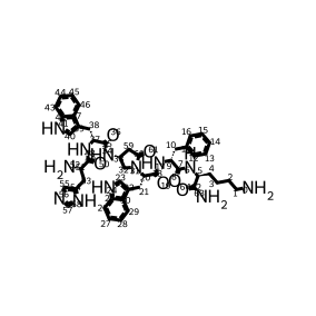 NCCCC[C@H](NC(=O)[C@@H](Cc1ccccc1)NC(=O)[C@H](Cc1c[nH]c2ccccc12)N1C[C@H](NC(=O)[C@@H](Cc2c[nH]c3ccccc23)NC(=O)[C@@H](N)Cc2cnc[nH]2)CC1=O)C(N)=O